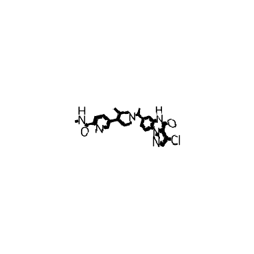 CNC(=O)c1ccc(C2=CCN(C(C)c3ccc4c(c3)[nH]c(=O)c3c(Cl)cnn34)CC2C)cn1